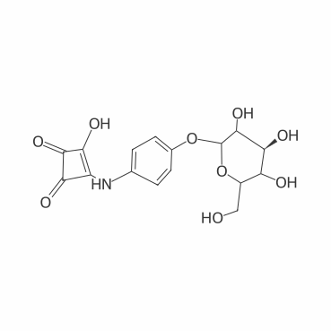 O=c1c(O)c(Nc2ccc(OC3OC(CO)C(O)[C@H](O)C3O)cc2)c1=O